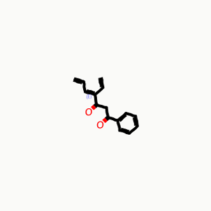 C=C/C=C(\C=C)C(=O)CC(=O)c1ccccc1